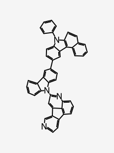 c1ccc(-n2c3ccc(-c4ccc5c(c4)c4ccccc4n5-c4cc5c6c(cccc6n4)-c4ccncc4-5)cc3c3c4ccccc4ccc32)cc1